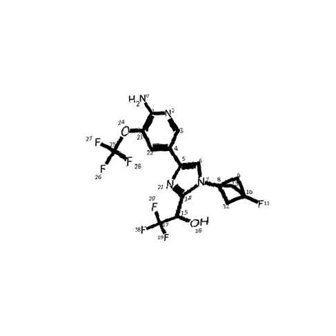 Nc1ncc(-c2cn(C34CC(F)(C3)C4)c(C(O)C(F)(F)F)n2)cc1OC(F)(F)F